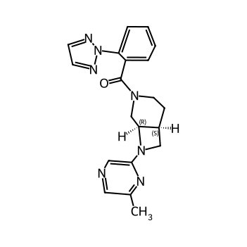 Cc1cncc(N2C[C@@H]3CCN(C(=O)c4ccccc4-n4nccn4)C[C@@H]32)n1